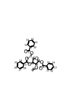 O=C(OC[C@@H]1O[C@@H](OC(=O)c2ccccc2)[C@H](OF)[C@H]1OC(=O)c1ccccc1)c1ccccc1